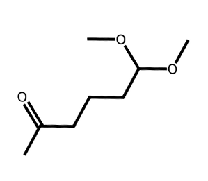 COC(CCCC(C)=O)OC